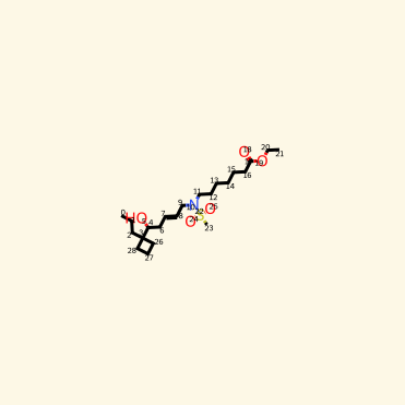 CCCC1(C(O)CC=CCN(CCCCCCC(=O)OCC)S(C)(=O)=O)CCC1